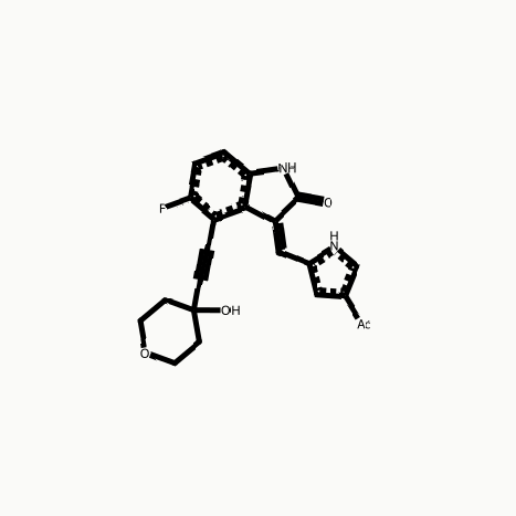 CC(=O)c1c[nH]c(/C=C2\C(=O)Nc3ccc(F)c(C#CC4(O)CCOCC4)c32)c1